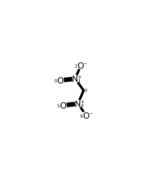 O=[N+]([O-])[CH][N+](=O)[O-]